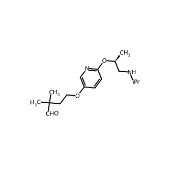 CC(C)NC[C@H](C)Oc1ccc(OCCC(C)(C)C=O)cn1